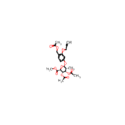 C#CCOc1cc(O[C@@H]2O[C@H](C(=O)OC)[C@@H](OC(C)=O)[C@H](OC(C)=O)[C@H]2C)ccc1COC(C)=O